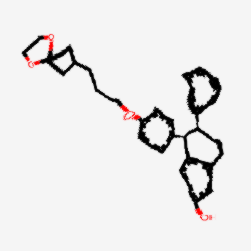 Oc1ccc2c(c1)CC[C@H](c1ccccc1)[C@@H]2c1ccc(OCCCC2CC3(C2)OCCO3)cc1